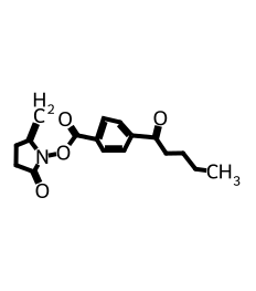 C=C1CCC(=O)N1OC(=O)c1ccc(C(=O)CCCC)cc1